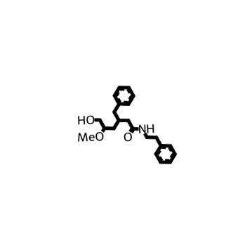 COC(CO)CC(CC(=O)NCCc1ccccc1)Cc1ccccc1